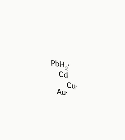 [Au].[Cd].[Cu].[PbH2]